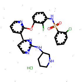 Cl.O=S(=O)(Nc1cccc(Oc2ncccc2-c2ccnc(NC3CCCNC3)n2)c1F)c1ccccc1Cl